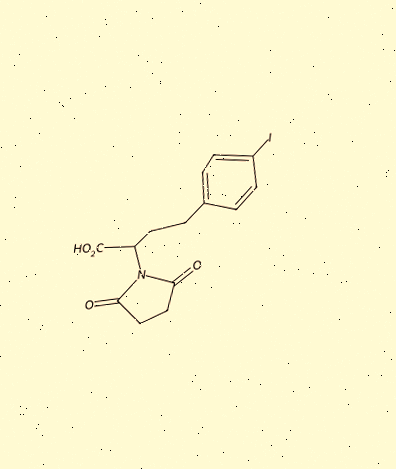 O=C(O)C(CCc1ccc(I)cc1)N1C(=O)CCC1=O